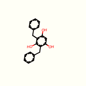 Oc1cc(O)c(Cc2ccccc2)c(O)c1Cc1ccccc1